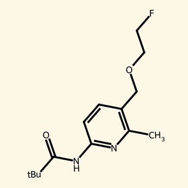 Cc1nc(NC(=O)C(C)(C)C)ccc1COCCF